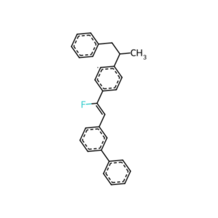 CC(Cc1ccccc1)c1[c]cc(/C(F)=C/c2cccc(-c3ccccc3)c2)cc1